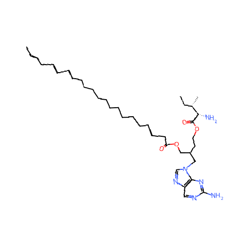 CCCCCCCCCCCCCCCCCCCCCC(=O)OCC(CCOC(=O)[C@@H](N)[C@@H](C)CC)Cn1cnc2cnc(N)nc21